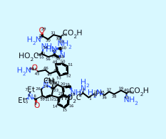 CC(C)CC(N)C(=O)O.CCN(CC)C(=O)[C@@H]1C=C2c3cccc4[nH]cc(c34)C[C@H]2N(C)C1.NC(=O)CC[C@H](N)C(=O)O.NCCCCC(N)C(=O)O.NOCCCc1ccccc1.N[C@@H](Cc1cnc[nH]1)C(=O)O